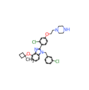 CC1(Oc2cccc3c2nc(-c2ccc(OCCN4CCNCC4)cc2Cl)n3Cc2cccc(Cl)c2)CCC1